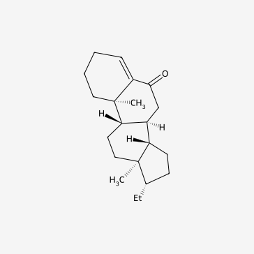 CC[C@H]1CC[C@H]2[C@@H]3CC(=O)C4=CCCC[C@]4(C)[C@H]3CC[C@]12C